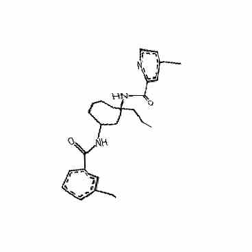 CCCC1(NC(=O)c2cc(C)ccn2)CCCC(NC(=O)c2cccc(C)c2)C1